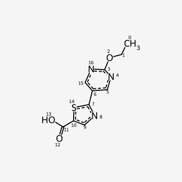 CCOc1ncc(-c2ncc(C(=O)O)s2)cn1